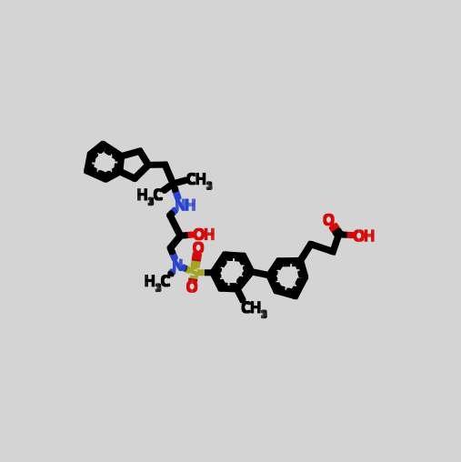 Cc1cc(S(=O)(=O)N(C)CC(O)CNC(C)(C)CC2Cc3ccccc3C2)ccc1-c1cccc(CCC(=O)O)c1